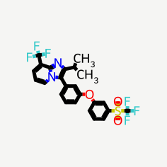 CC(C)c1nc2c(C(F)(F)F)cccn2c1-c1cccc(Oc2cccc(S(=O)(=O)C(F)(F)F)c2)c1